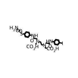 NOOSc1ccc(NC(=O)CN(CCN(CC(=O)O)CC(=O)Nc2ccc(I)cc2)CC(=O)O)cc1